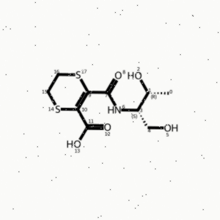 C[C@@H](O)[C@H](CO)NC(=O)C1=C(C(=O)O)SCCS1